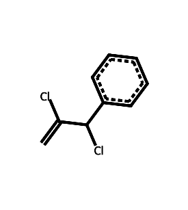 C=C(Cl)C(Cl)c1ccccc1